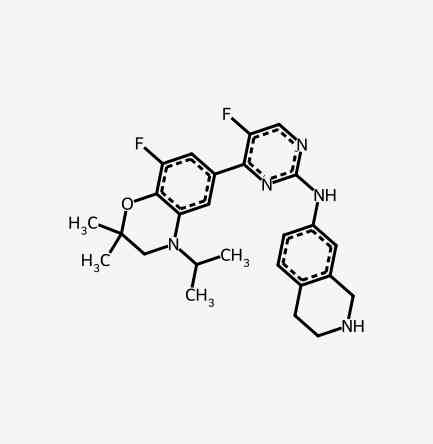 CC(C)N1CC(C)(C)Oc2c(F)cc(-c3nc(Nc4ccc5c(c4)CNCC5)ncc3F)cc21